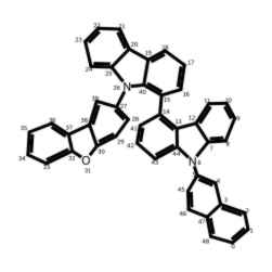 c1ccc2cc(-n3c4ccccc4c4c(-c5cccc6c7ccccc7n(-c7ccc8oc9ccccc9c8c7)c56)cccc43)ccc2c1